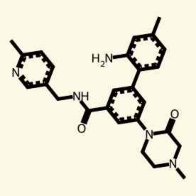 Cc1ccc(-c2cc(C(=O)NCc3ccc(C)nc3)cc(N3CCN(C)CC3=O)c2)c(N)c1